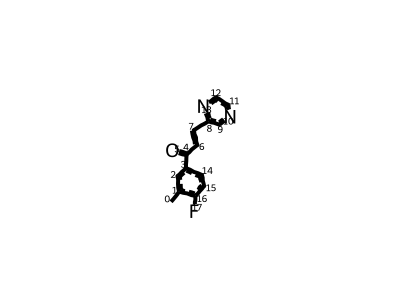 Cc1cc(C(=O)C=Cc2cnccn2)ccc1F